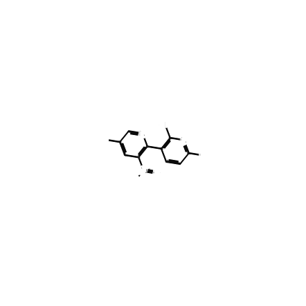 O=[N+]([O-])c1cc(Br)cnc1-c1ccc(Cl)nc1Cl